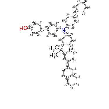 CC1(C)c2cc(-c3ccc4ccccc4c3)ccc2-c2ccc(N(c3ccc(-c4ccccc4)cc3)c3ccc(-c4ccc(O)cc4)cc3)cc21